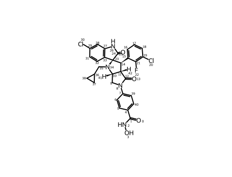 O=C(NO)c1ccc(N2C[C@H]3[C@@H](C2=O)[C@H](c2cccc(Cl)c2F)[C@]2(C(=O)Nc4cc(Cl)ccc42)N3CC2CC2)cc1